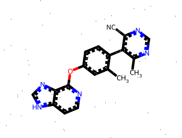 Cc1cc(Oc2nccc3[nH]cnc23)ccc1-c1c(C)ncnc1C#N